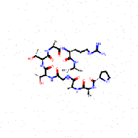 CC(C)[C@H](NC(=O)[C@H](CCCNC(=N)N)NC(=O)[C@@H](NC(=O)[C@@H](NC(=O)[C@@H](NC(=O)CNC(=O)[C@H](C)NC(=O)[C@@H](NC(=O)[C@@H]1CCCN1)C(C)C)[C@@H](C)O)[C@@H](C)O)C(C)C)C(=O)O